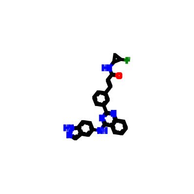 O=C(/C=C/c1cccc(-c2nc(Nc3ccc4[nH]ncc4c3)c3ccccc3n2)c1)NC1CC1F